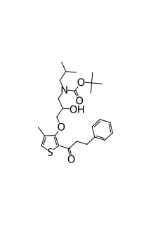 Cc1csc(C(=O)CCc2ccccc2)c1OCC(O)CN(CC(C)C)C(=O)OC(C)(C)C